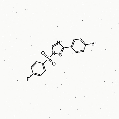 O=S(=O)(c1ccc(F)cc1)n1cnc(-c2ccc(Br)cc2)n1